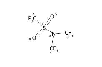 O=S(=O)(N(C(F)(F)F)C(F)(F)F)C(F)(F)F